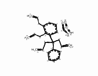 C=CCc1cccc(C(CC=C)(CC=C)c2ccccc2)c1CC=C.N=C=O.N=C=O